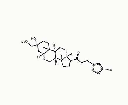 COC[C@@]1(O)CC[C@@]2(C)[C@H](CC[C@@H]3[C@@H]2CC[C@]2(C)[C@@H](C(=O)CCn4cc(C#N)cn4)CC[C@@H]32)C1